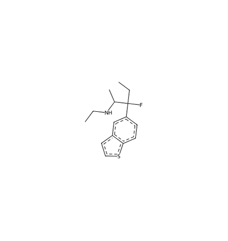 CCNC(C)C(F)(CC)c1ccc2sccc2c1